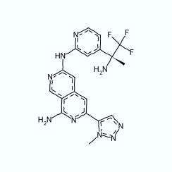 Cn1nncc1-c1cc2cc(Nc3cc([C@@](C)(N)C(F)(F)F)ccn3)ncc2c(N)n1